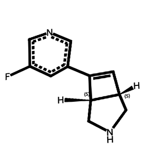 Fc1cncc(C2=C[C@@H]3CNC[C@H]23)c1